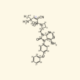 CC(C)(N)/C=C(/C#N)C(=O)N1CC[C@H]1Cn1c(=O)n(-c2ccc(Oc3ccccc3)cc2)c2c(N)ncnc21